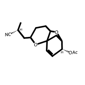 CC(=O)O[C@@H]1C=CC23CC1OC2CCC(C[C@@H](C)C#N)O3